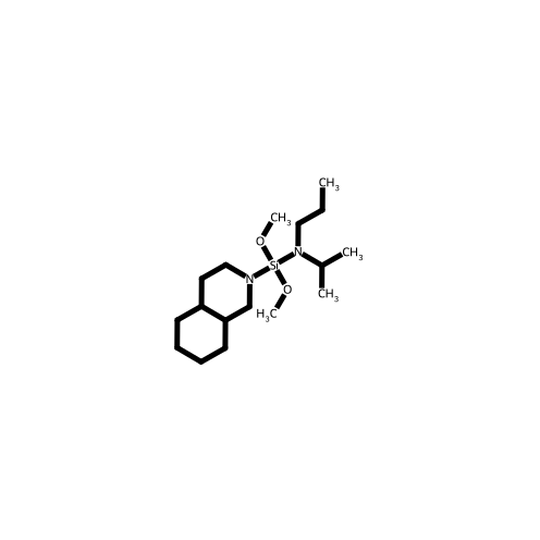 CCCN(C(C)C)[Si](OC)(OC)N1CCC2CCCCC2C1